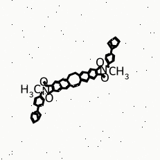 CC(c1ccc(C2CC3C=CC2C3)cc1)N1C(=O)c2cc3cc4c(cc3cc2C1=O)CCc1cc2cc3c(cc2cc1/C=C\4)C(=O)N(C(C)c1ccc(C2CC4C=CC2C4)cc1)C3=O